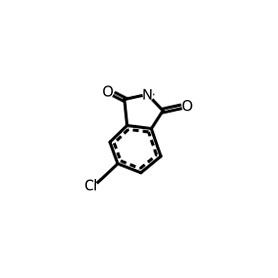 O=C1[N]C(=O)c2cc(Cl)ccc21